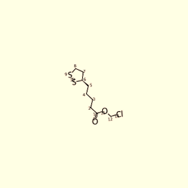 O=C(CCCC[C@@H]1CCSS1)OCCl